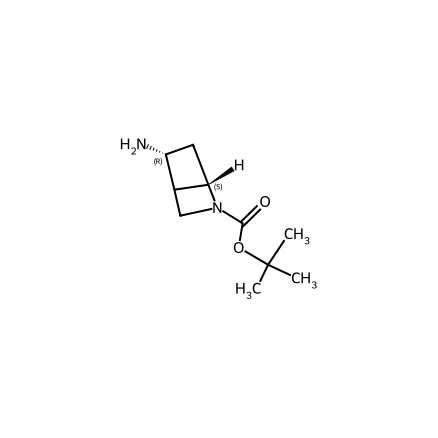 CC(C)(C)OC(=O)N1CC2[C@H](N)C[C@@H]21